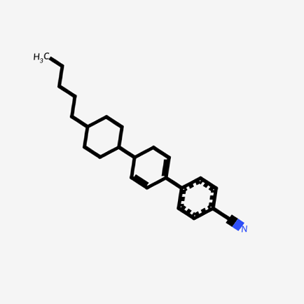 CCCCCC1CCC(C2C=CC(c3ccc(C#N)cc3)=CC2)CC1